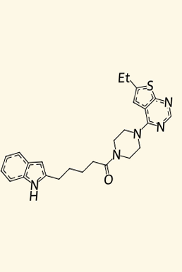 CCc1cc2c(N3CCN(C(=O)CCCCc4cc5ccccc5[nH]4)CC3)ncnc2s1